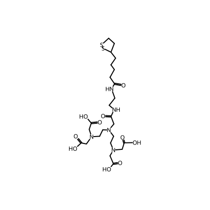 O=C(O)CN(CCN(CCN(CC(=O)O)CC(=O)O)CC(=O)NCCNC(=O)CCCCC1CCSS1)CC(=O)O